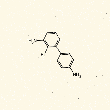 CCc1c(N)cccc1-c1ccc(N)cc1